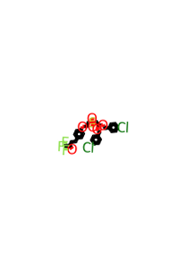 O=C(CCc1ccc(OCCS(=O)(=O)CC(OCc2ccc(Cl)cc2)OCc2ccc(Cl)cc2)cc1)C(F)(F)F